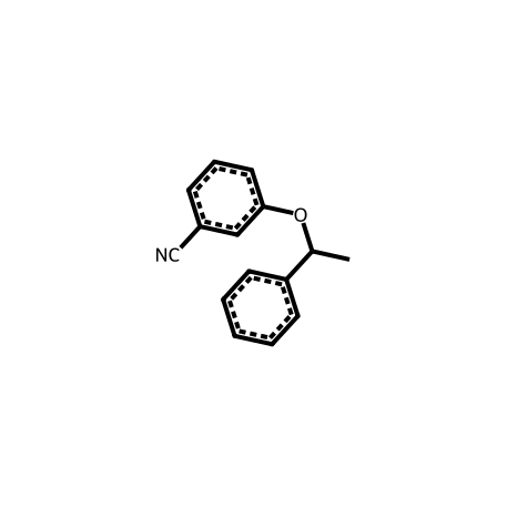 CC(Oc1cccc(C#N)c1)c1ccccc1